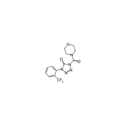 O=C(N1CCOCC1)n1nnn(-c2ccccc2C(F)(F)F)c1=O